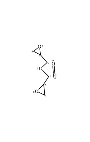 C(OCC1CO1)C1CO1.O=P